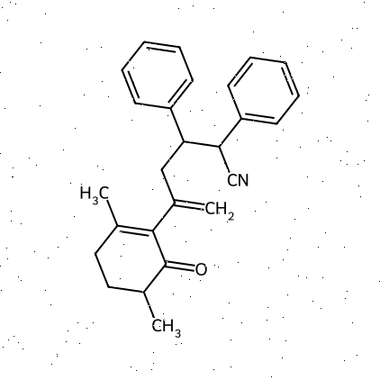 C=C(CC(c1ccccc1)C(C#N)c1ccccc1)C1=C(C)CCC(C)C1=O